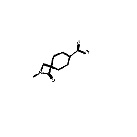 CCCC(=O)C1CCC2(CC1)CN(C)C2=O